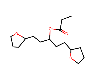 CCC(=O)OC(CCC1CCCO1)CCC1CCCO1